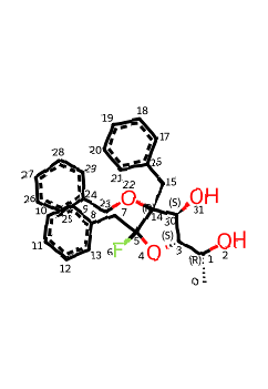 C[C@@H](O)[C@@H]1OC(F)(Cc2ccccc2)[C@](Cc2ccccc2)(OCc2ccccc2)[C@H]1O